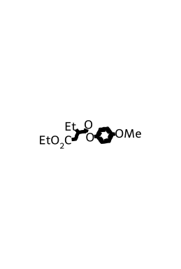 CCOC(=O)CC(CC)C(=O)Oc1ccc(OC)cc1